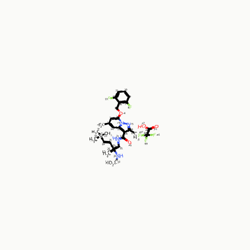 Cc1cc(OCc2c(F)cccc2F)n2nc(C)c(C(=O)NCC(C)(CC[Si](C)(C)C)NC(=O)O)c2c1.O=C(O)C(F)(F)F